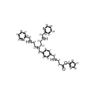 O=C(CCNCc1ccc(CN(CCNCc2ccccn2)CCNCc2ccccn2)cc1)Oc1cccs1